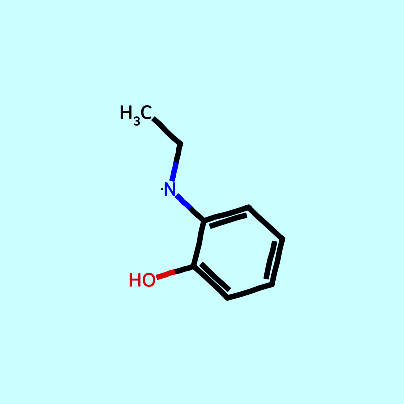 CC[N]c1ccccc1O